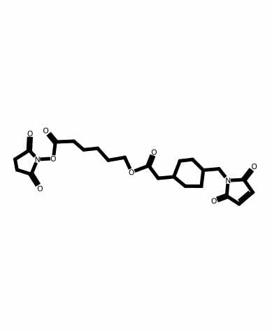 O=C(CC1CCC(CN2C(=O)C=CC2=O)CC1)OCCCCCC(=O)ON1C(=O)CCC1=O